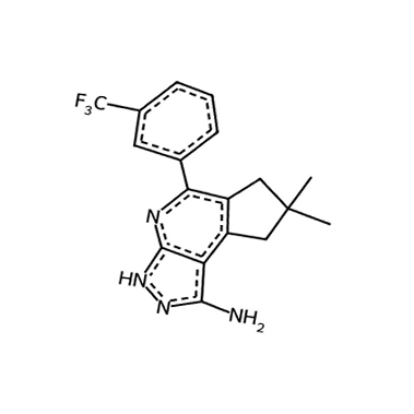 CC1(C)Cc2c(-c3cccc(C(F)(F)F)c3)nc3[nH]nc(N)c3c2C1